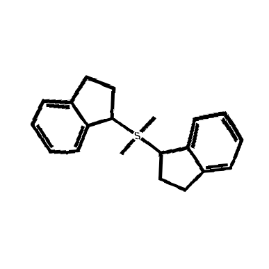 CS(C)(C1CCc2ccccc21)C1CCc2ccccc21